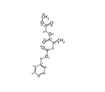 C=C(CC(=O)OCc1ccccc1)C(=O)OCC(=O)OC